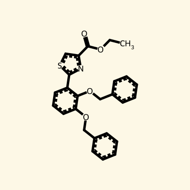 CCOC(=O)c1csc(-c2cccc(OCc3ccccc3)c2OCc2ccccc2)n1